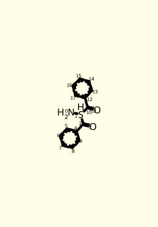 N[SH](C(=O)c1ccccc1)C(=O)c1ccccc1